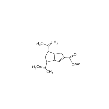 C=C(C)C1CC(C(=C)C)C2CC(C(=O)OC)=CC12